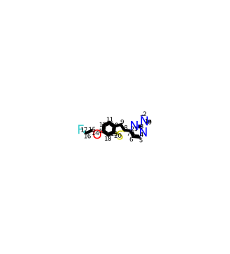 CN(C)c1nccc(C2Cc3ccc(OCCF)cc3S2)n1